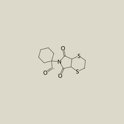 O=[C]C1(N2C(=O)C3SCCSC3C2=O)CCCCC1